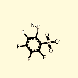 O=S(=O)([O-])c1c(F)c(F)c(F)c(F)c1F.[Na+]